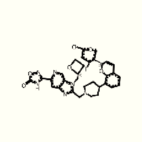 O=c1[nH]c(-c2cc3nc(CN4CCC(c5cccc6c5O[C@@H](c5ccc(Cl)cc5F)C=C6)CC4)n(C[C@@H]4CCO4)c3cn2)no1